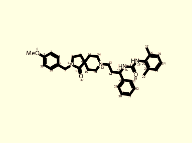 COc1ccc(CN2CCC3(CCN(CCC(NC(=O)Nc4c(C)cccc4C)c4ccccc4)CC3)C2=O)cc1